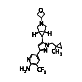 CC1(Cn2nc(-c3cnc(N)c(C(F)(F)F)c3)cc2[C@H]2[C@@H]3CN(C4COC4)C[C@@H]32)CC1